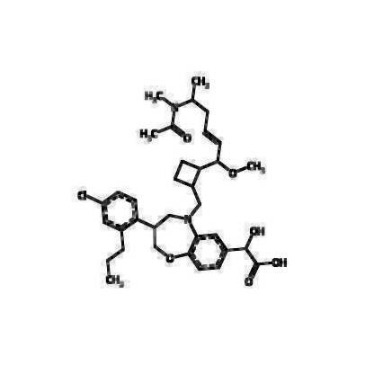 CCCc1cc(Cl)ccc1C1COc2ccc(C(O)C(=O)O)cc2N(CC2CCC2C(/C=C/CC(C)N(C)C(C)=O)OC)C1